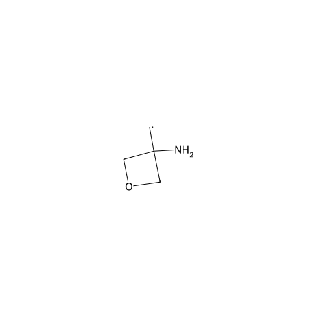 [CH2]C1(N)COC1